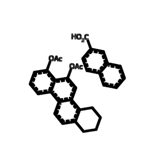 CC(=O)Oc1cccc2c1c(OC(C)=O)cc1c3c(ccc12)CCCC3.O=C(O)c1ccc2ccccc2c1